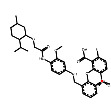 COc1cc(NCc2cccc(OC)c2Oc2c([N+](=O)[O-])ccc(F)c2C(=O)O)ccc1NC(=O)COC1CC(C)CCC1C(C)C